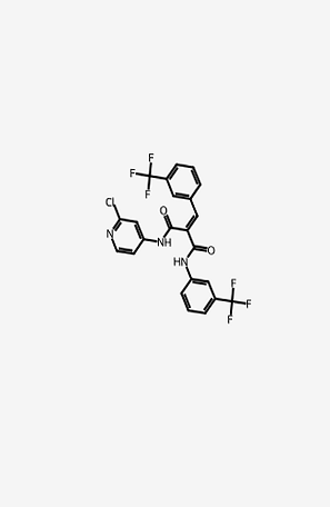 O=C(Nc1cccc(C(F)(F)F)c1)/C(=C/c1cccc(C(F)(F)F)c1)C(=O)Nc1ccnc(Cl)c1